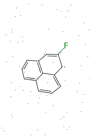 FC1=[C]c2cccc3cccc(c23)[CH]1